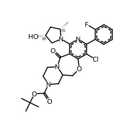 C[C@H]1C[C@@H](O)CN1c1nc(-c2ccccc2F)c(Cl)c2c1C(=O)N1CCN(C(=O)OC(C)(C)C)CC1CO2